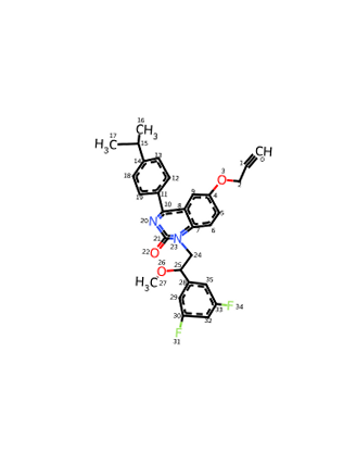 C#CCOc1ccc2c(c1)c(-c1ccc(C(C)C)cc1)nc(=O)n2CC(OC)c1cc(F)cc(F)c1